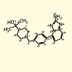 CC(C)(O)C1CCN(Cc2ccc(-c3cccc4nc(N)nn34)cc2)CC1